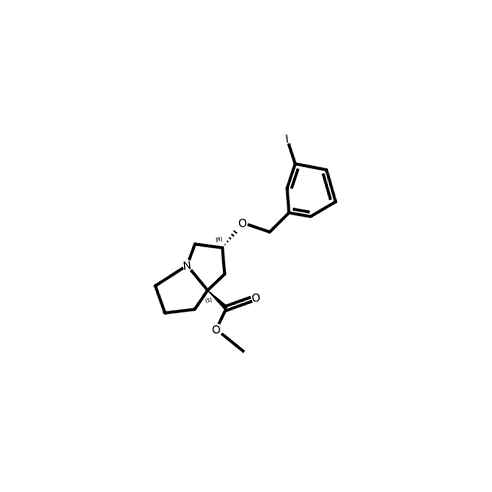 COC(=O)[C@@]12CCCN1C[C@H](OCc1cccc(I)c1)C2